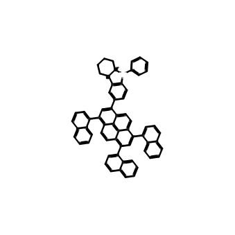 CC12CCCCC1(C)c1cc(-c3cc(-c4cccc5ccccc45)c4ccc5c(-c6cccc7ccccc67)cc(-c6cccc7ccccc67)c6ccc3c4c65)ccc1B2c1ccccc1